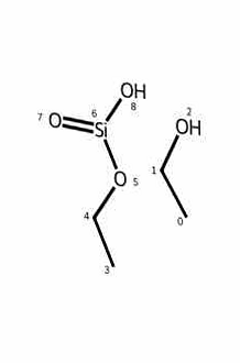 CCO.CCO[Si](=O)O